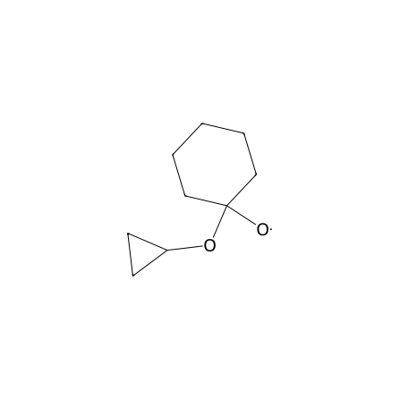 [O]C1(OC2CC2)CCCCC1